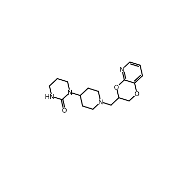 O=C1NCCCN1C1CCN(CC2COc3cccnc3O2)CC1